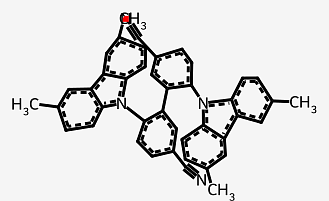 Cc1ccc2c(c1)c1cc(C)ccc1n2-c1ccc(C#N)cc1-c1cc(C#N)ccc1-n1c2ccc(C)cc2c2cc(C)ccc21